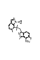 Cc1ccc2cnn(C3CC3)c2c1C(C)(C)Cc1nn(C)c2c(C(C)(C)C)c(F)ccc12